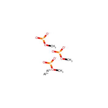 COP([O-])[O-].COP([O-])[O-].COP([O-])[O-].[Al+3].[Al+3]